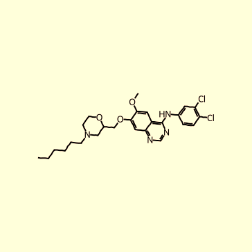 CCCCCCN1CCOC(COc2cc3ncnc(Nc4ccc(Cl)c(Cl)c4)c3cc2OC)C1